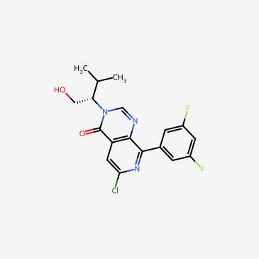 CC(C)[C@@H](CO)n1cnc2c(-c3cc(F)cc(F)c3)nc(Cl)cc2c1=O